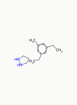 C1CNNC1.CCc1cc(C)cc(CC)c1